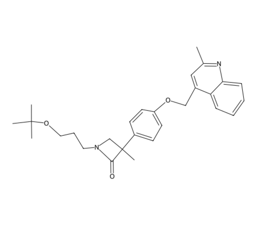 Cc1cc(COc2ccc(C3(C)CN(CCCOC(C)(C)C)C3=O)cc2)c2ccccc2n1